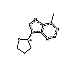 Ic1ncnc2c1ncn2[C@H]1CCCS1